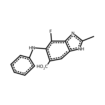 Cc1nc2c(F)c(Nc3ccccc3)c(C(=O)O)cc2[nH]1